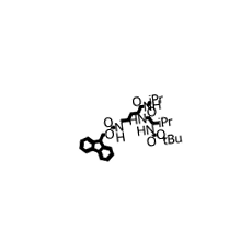 CC(C)NC(=O)C(CCCNC(=O)OCC1c2ccccc2-c2ccccc21)NC(=O)C(NC(=O)OC(C)(C)C)C(C)C